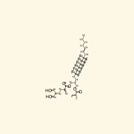 C=C(C)C(=O)OCC(CCC(F)(F)C(F)(F)C(F)(F)C(F)(F)C(F)(F)C(F)(F)C/C=C/CCCC)COC(=O)C(=C)CCC(CO)CO